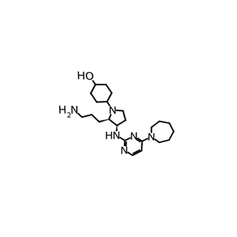 NCCC[C@@H]1[C@H](Nc2nccc(N3CCCCCC3)n2)CCN1C1CCC(O)CC1